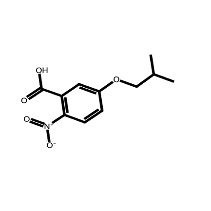 CC(C)COc1ccc([N+](=O)[O-])c(C(=O)O)c1